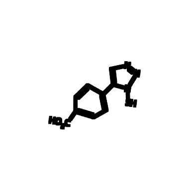 O=C(O)c1ccc(-c2cnnn2S)cc1